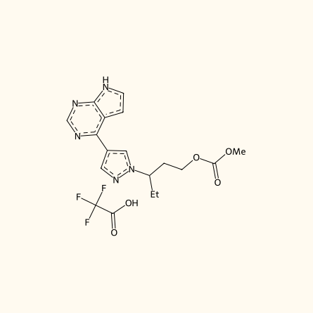 CCC(CCOC(=O)OC)n1cc(-c2ncnc3[nH]ccc23)cn1.O=C(O)C(F)(F)F